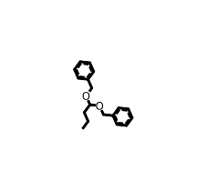 CCCC(OCc1ccccc1)OCc1ccccc1